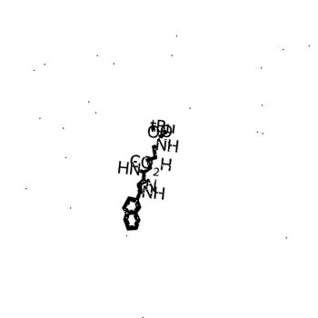 CC(C)(C)OC(=O)NCCCCC(NC(=O)O)c1cc(-c2ccc3ccccc3c2)[nH]n1